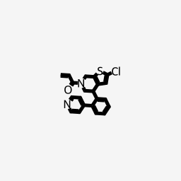 C=CC(=O)N1Cc2sc(Cl)cc2C(c2ccccc2-c2ccncc2)C1